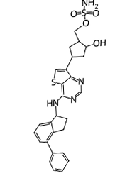 NS(=O)(=O)OCC1CC(c2csc3c(NC4CCc5c(-c6ccccc6)cccc54)ncnc23)CC1O